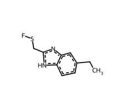 CCc1ccc2[nH]c(CSF)nc2c1